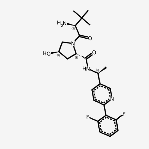 C[C@H](NC(=O)[C@@H]1C[C@@H](O)CN1C(=O)[C@@H](N)C(C)(C)C)c1ccc(-c2c(F)cccc2F)nc1